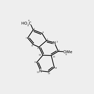 COc1nc2cc(C(=O)O)ccc2c2cnccc12